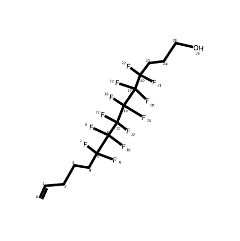 C=CCCCC(F)(F)C(F)(F)C(F)(F)C(F)(F)C(F)(F)C(F)(F)CCCO